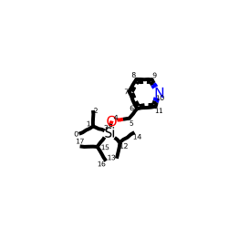 CC(C)[Si](OCc1cccnc1)(C(C)C)C(C)C